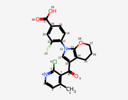 Cc1ccnc(Cl)c1C(=O)c1cn(-c2ccc(C(=O)O)cc2F)c2c1CCCO2